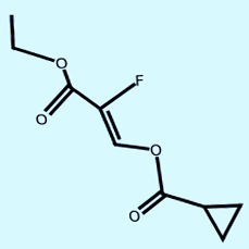 CCOC(=O)C(F)=COC(=O)C1CC1